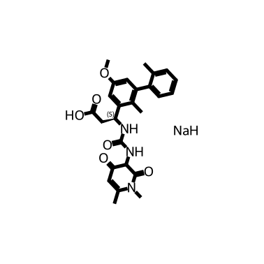 COc1cc(-c2ccccc2C)c(C)c([C@H](CC(=O)O)NC(=O)NC2C(=O)C=C(C)N(C)C2=O)c1.[NaH]